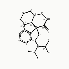 CC(C)N(CCC1(c2ccccc2Cl)C(=O)NCN2CCCCC21)C(C)C